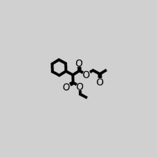 CCOC(=O)C(C(=O)OCC(C)=O)C1CCCCC1